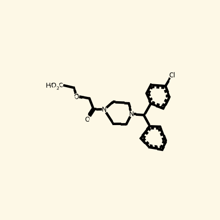 O=C(O)COCC(=O)N1CCN(C(c2ccccc2)c2ccc(Cl)cc2)CC1